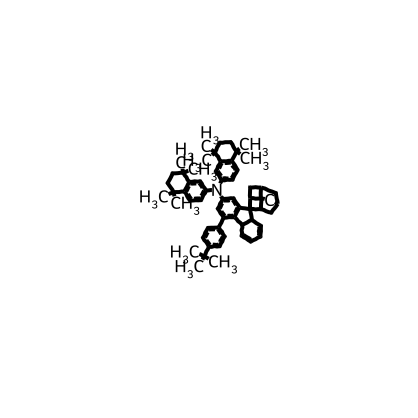 CC(C)(C)c1ccc(-c2cc(N(c3ccc4c(c3)C(C)(C)CCC4(C)C)c3ccc4c(c3)C(C)(C)CCC4(C)C)cc3c2C2C=CC=CC2C32C3CC4CC5CC2C53C4)cc1